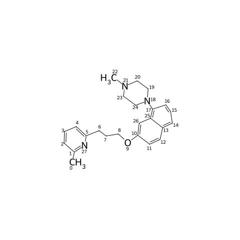 Cc1cccc(CCCOc2ccc3cccc(N4CCN(C)CC4)c3c2)n1